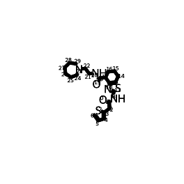 O=C(Cc1cccs1)Nc1nc2c(s1)CCCC2C(=O)NCCN1CCCCCC1